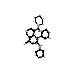 O=C(c1cncc2c(=O)cc(Nc3ccccc3)n(-c3ccccc3)c12)N1CCCCC1